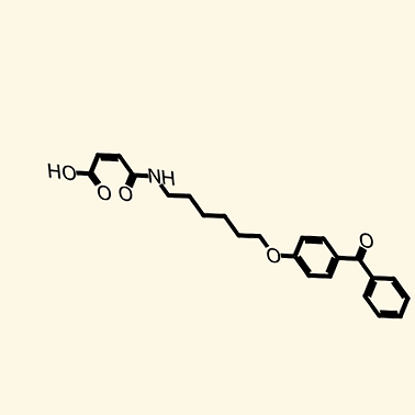 O=C(O)/C=C\C(=O)NCCCCCCOc1ccc(C(=O)c2ccccc2)cc1